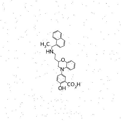 C[C@@H](NCCC1CN(c2ccc(O)c(C(=O)O)c2)c2ccccc2O1)c1cccc2ccccc12